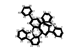 C=c1/c2c3ccccc3n1-c1ccccc1C/C=C(c1cccc3c4ccccc4n(-c4cccc(-c5ccccc5)c4)c13)\C=2